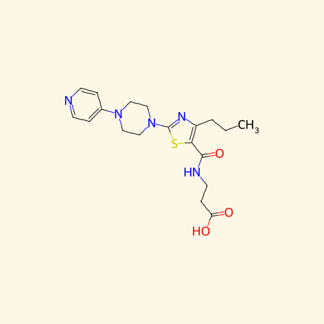 CCCc1nc(N2CCN(c3ccncc3)CC2)sc1C(=O)NCCC(=O)O